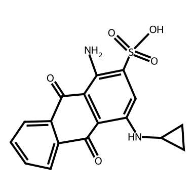 Nc1c(S(=O)(=O)O)cc(NC2CC2)c2c1C(=O)c1ccccc1C2=O